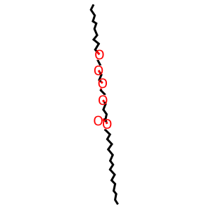 CCCCCCCCCCCCCCCCOC(=O)CCCOCCOCCOCCOCCCCCCCCCC